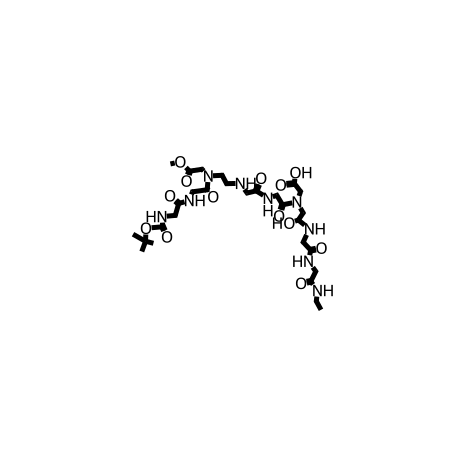 CCNC(=O)CNC(=O)CNC(O)CN(CC(=O)O)C(=O)CNC(=O)CNCCN(CC(=O)OC)C(=O)CNC(=O)CNC(=O)OC(C)(C)C